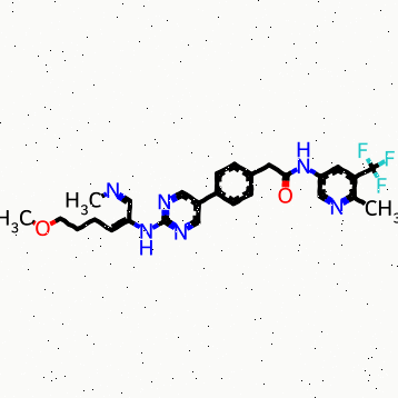 C/N=C\C(=C/CCCOC)Nc1ncc(-c2ccc(CC(=O)Nc3cnc(C)c(C(F)(F)F)c3)cc2)cn1